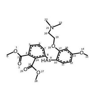 COC(=O)c1cccc([AsH]c2ccc(OC)cc2OCCN(C)C)c1C(=O)OC